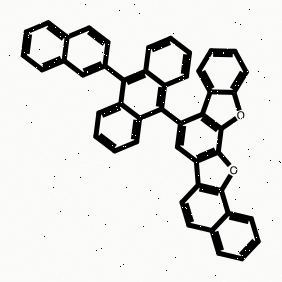 c1ccc2cc(-c3c4ccccc4c(-c4cc5c6ccc7ccccc7c6oc5c5oc6ccccc6c45)c4ccccc34)ccc2c1